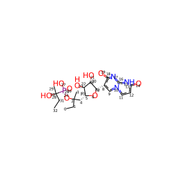 CCC(C)(C[C@H]1O[C@@H](c2cn3ccc(=O)[nH]c3nc2=O)[C@@H](O)C1O)OP(=O)(O)C(C)(O)CC